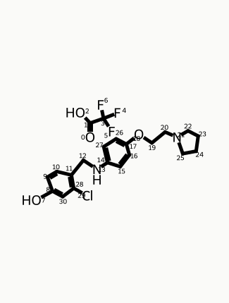 O=C(O)C(F)(F)F.Oc1ccc(CNc2ccc(OCCN3CCCC3)cc2)c(Cl)c1